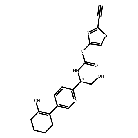 C#Cc1nc(NC(=O)N[C@@H](CO)c2ccc(C3=C(C#N)CCCC3)cn2)cs1